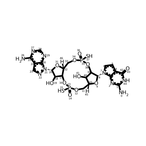 Nc1nc2c(ccn2[C@@H]2O[C@@H]3COP(=O)(S)OC4C(O)[C@H](n5ncc6c(N)ncnc65)O[C@@H]4COP(=O)(S)OC2C3O)c(=O)[nH]1